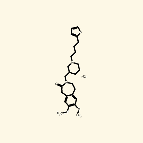 COc1cc2c(cc1OC)CC(=O)N(CC1CCCN(CCCCc3cccs3)C1)CC2.Cl